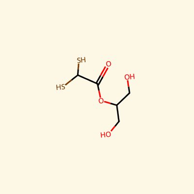 O=C(OC(CO)CO)C(S)S